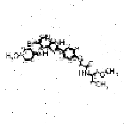 CCC(COC)NC(=O)COc1ccc(-c2nc3c(NC4CCN(C)CC4)c(Br)cnc3[nH]2)cc1